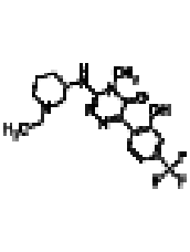 CCN1CCC[C@@H](Nc2nnc(-c3ccc(C(F)(F)F)cc3O)c(=O)n2C)C1